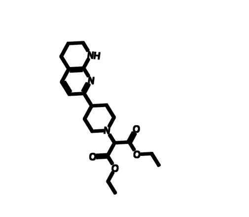 CCOC(=O)C(C(=O)OCC)N1CCC(c2ccc3c(n2)NCCC3)CC1